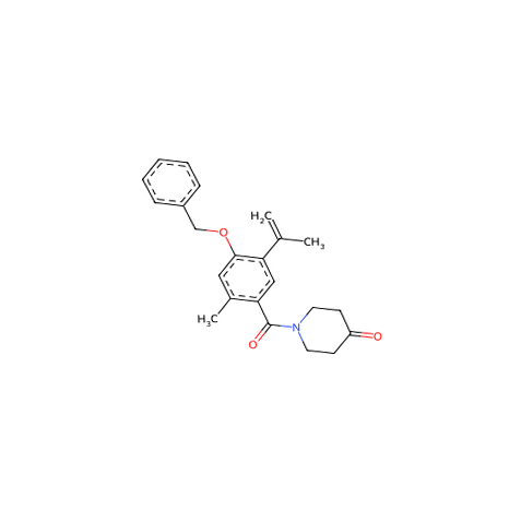 C=C(C)c1cc(C(=O)N2CCC(=O)CC2)c(C)cc1OCc1ccccc1